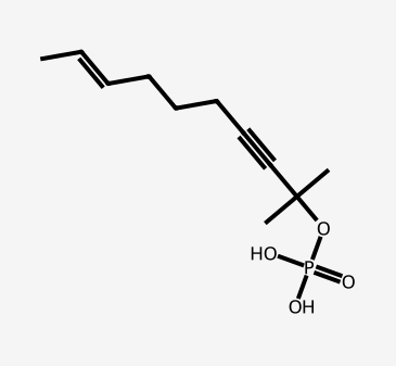 CC=CCCCC#CC(C)(C)OP(=O)(O)O